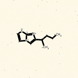 CCCC(C)c1cn2ccsc2n1